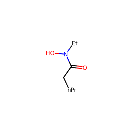 [CH2]CCCC(=O)N(O)CC